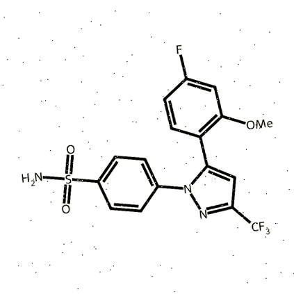 COc1cc(F)ccc1-c1cc(C(F)(F)F)nn1-c1ccc(S(N)(=O)=O)cc1